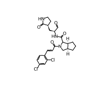 O=C[C@H](C[C@@H]1CCNC1=O)NC(=O)C1[C@H]2CCC[C@H]2CN1C(=O)/C=C/c1ccc(Cl)cc1Cl